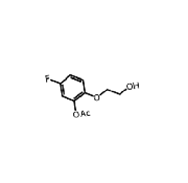 CC(=O)Oc1cc(F)ccc1OCCO